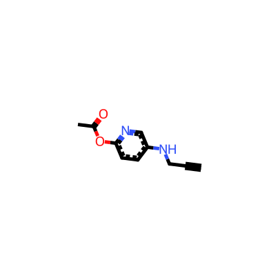 C#CCNc1ccc(OC(C)=O)nc1